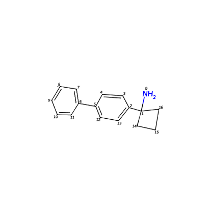 NC1(c2ccc(-c3c[c]ccc3)cc2)CCC1